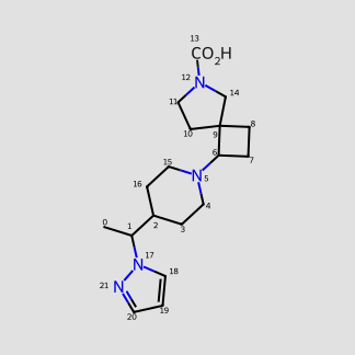 CC(C1CCN(C2CCC23CCN(C(=O)O)C3)CC1)n1cccn1